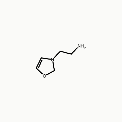 NCCN1C=COC1